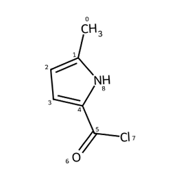 Cc1ccc(C(=O)Cl)[nH]1